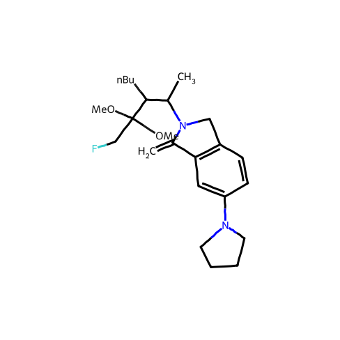 C=C1c2cc(N3CCCC3)ccc2CN1C(C)C(CCCC)C(CF)(OC)OC